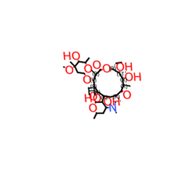 CC[C@H]1OC(=O)[C@H](C)[C@@H](OC2CC(C)(OC)C(O)C(C)O2)[C@H](C)[C@H]2OC3OC(C)CC(N(C)C)C3(O)[C@@]2(O)C[C@@H](C)C(=O)[C@H](C)[C@@H](O)[C@]1(C)O